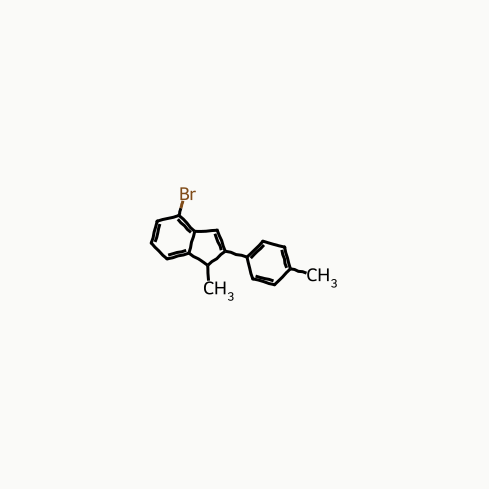 Cc1ccc(C2=Cc3c(Br)cccc3C2C)cc1